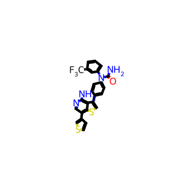 NC(=O)N(c1ccc(-c2csc3c(-c4ccsc4)cnc(N)c23)cc1)c1cccc(C(F)(F)F)c1